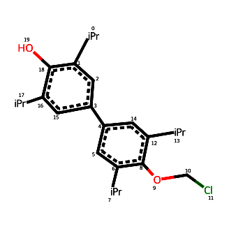 CC(C)c1cc(-c2cc(C(C)C)c(OCCl)c(C(C)C)c2)cc(C(C)C)c1O